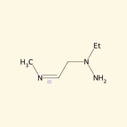 CCN(N)C/C=N\C